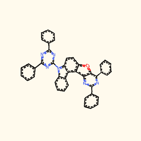 c1ccc(-c2nc(-c3ccccc3)nc(-n3c4ccccc4c4c5c(ccc43)oc3c(-c4ccccc4)nc(-c4ccccc4)nc35)n2)cc1